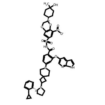 CC1(O)CCC([C@@H]2COc3cc(S(=O)(=O)NC(=O)c4ccc(N5CCC6(CC5)CC(N5CCC[C@@H]5c5ccccc5C5CC5)C6)cc4Oc4cnc5[nH]ccc5c4)cc([N+](=O)[O-])c3O2)CC1